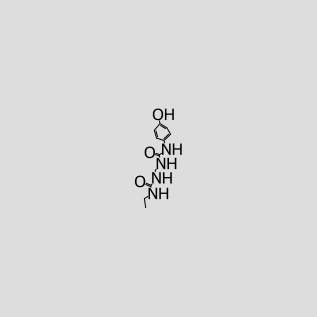 CCNC(=O)NCNC(=O)Nc1ccc(O)cc1